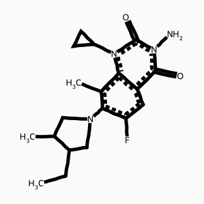 CCC1CN(c2c(F)cc3c(=O)n(N)c(=O)n(C4CC4)c3c2C)CC1C